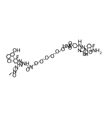 C=CC(=O)N1CCN(c2nc(NCCC(=O)N(C)CCOCCOCCOCCOCCOCCOCCNS(=O)(=O)c3ccc(Nc4ncc(Br)c(Nc5cccc(F)c5C(N)=O)n4)cc3)nc3c(F)c(-c4cc(O)cc5ccccc45)c(Cl)cc23)CC1